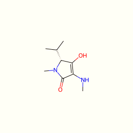 CNC1=C(O)[C@@H](C(C)C)N(C)C1=O